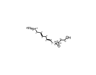 CCCCCCCCC=CCC=CC[C@H]1O[C@@H]1CCO